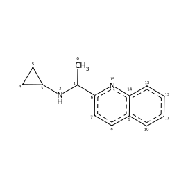 CC(NC1CC1)c1ccc2ccccc2n1